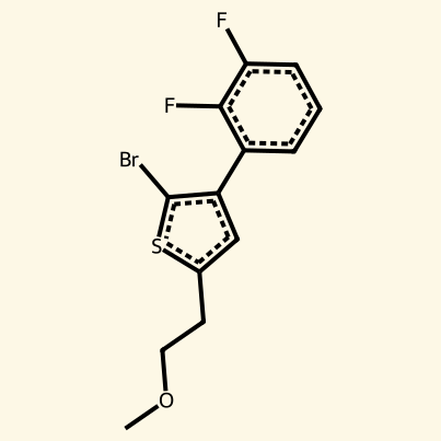 COCCc1cc(-c2cccc(F)c2F)c(Br)s1